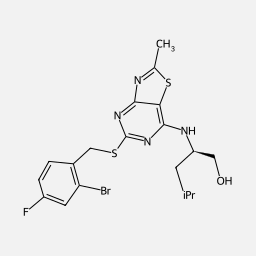 Cc1nc2nc(SCc3ccc(F)cc3Br)nc(N[C@@H](CO)CC(C)C)c2s1